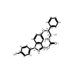 COC(=O)N[C@@H](C)[C@@H](Oc1ccc2c(cnn2-c2ccc(F)cc2)c1)c1ccccc1